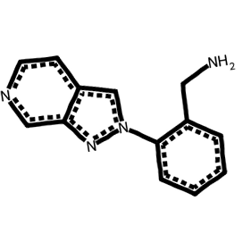 NCc1ccccc1-n1cc2ccncc2n1